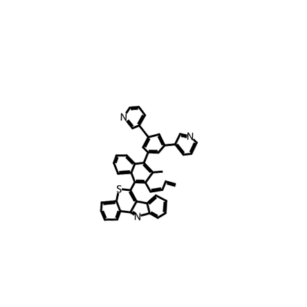 C=C/C=C\c1c(C)c(-c2cc(-c3cccnc3)cc(-c3cccnc3)c2)c2ccccc2c1-c1sc2ccccc2c2nc3ccccc3c1-2